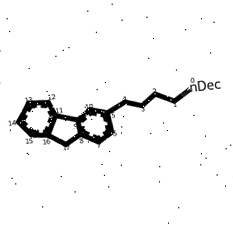 CCCCCCCCCCCCCCc1ccc2c(c1)-c1ccccc1C2